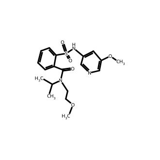 COCCN(C(=O)c1ccccc1S(=O)(=O)Nc1cncc(OC)c1)C(C)C